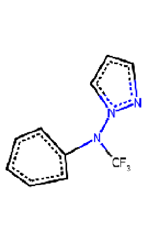 FC(F)(F)N(c1ccccc1)n1cccn1